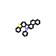 C1=C2Sc3ccccc3C2C2C(=C1)c1c(ccc3c1ccc1ccccc13)N2c1ccccc1